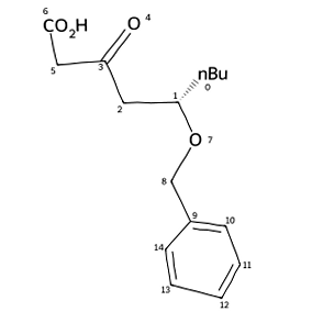 CCCC[C@@H](CC(=O)CC(=O)O)OCc1ccccc1